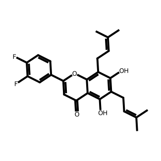 CC(C)=CCc1c(O)c(CC=C(C)C)c2oc(-c3ccc(F)c(F)c3)cc(=O)c2c1O